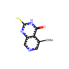 COc1cncc2nc(S)[nH]c(=O)c12